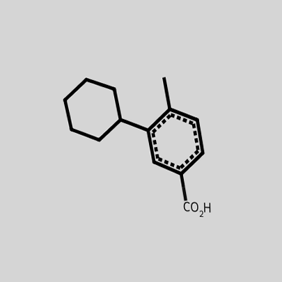 Cc1ccc(C(=O)O)cc1C1CCCCC1